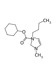 CCCC[N+]1(C(=O)OC2CCCCC2)C=CN(C)C1